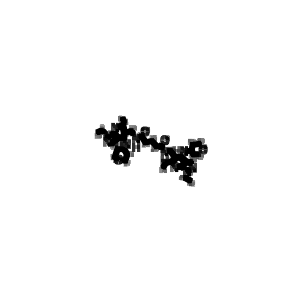 CCc1nc2c(cnn2CC)c(NC2CCOCC2)c1CNC(=O)CCCC(=O)NCc1c(CC)nc2c(cnn2CC)c1NC1CCOCC1